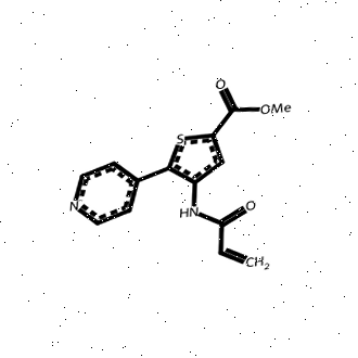 C=CC(=O)Nc1cc(C(=O)OC)sc1-c1ccncc1